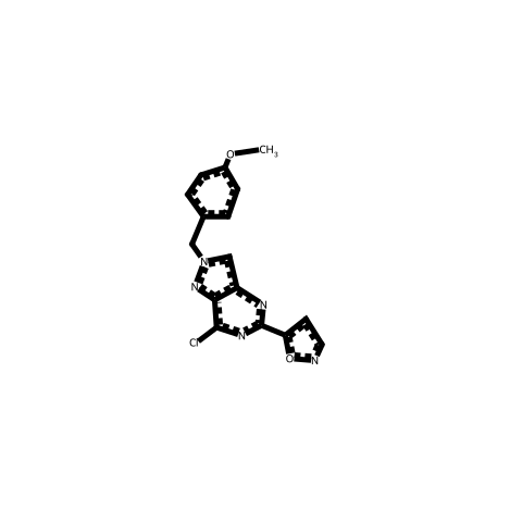 COc1ccc(Cn2cc3nc(-c4ccno4)nc(Cl)c3n2)cc1